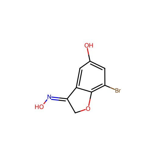 O/N=C1\COc2c(Br)cc(O)cc21